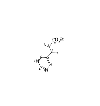 CCOC(=O)C(C)C(C)c1cncnc1